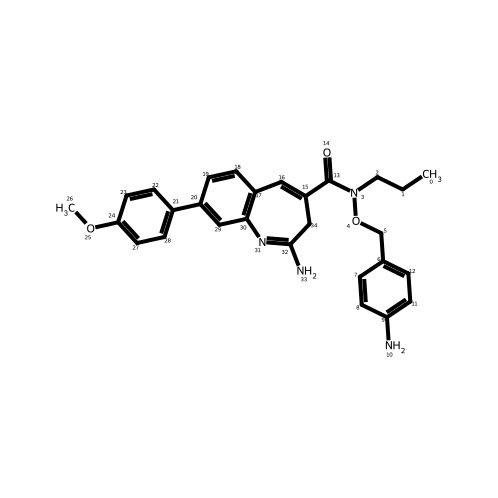 CCCN(OCc1ccc(N)cc1)C(=O)C1=Cc2ccc(-c3ccc(OC)cc3)cc2N=C(N)C1